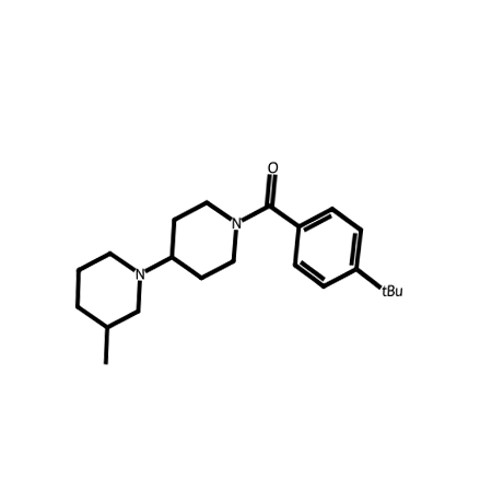 CC1CCCN(C2CCN(C(=O)c3ccc(C(C)(C)C)cc3)CC2)C1